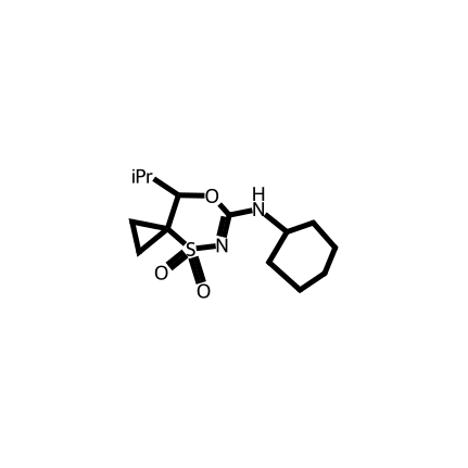 CC(C)C1OC(NC2CCCCC2)=NS(=O)(=O)C12CC2